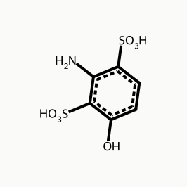 Nc1c(S(=O)(=O)O)ccc(O)c1S(=O)(=O)O